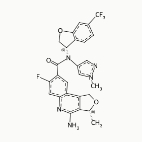 C[C@H]1OCc2c1c(N)nc1cc(F)c(C(=O)N(c3cnn(C)c3)[C@@H]3COc4cc(C(F)(F)F)ccc43)cc21